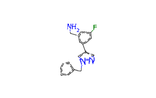 NCc1cc(F)cc(-c2cnn(Cc3ccccc3)c2)c1